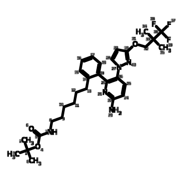 CC(C)(C)OC(=O)NCCCCCCc1ccccc1-c1nc(N)ccc1-n1ccc(OCC(C)(C)C(F)(F)F)n1